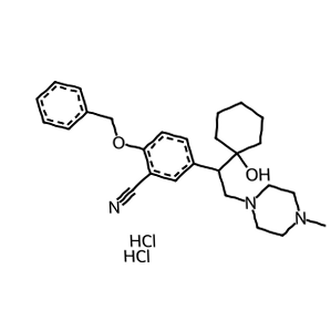 CN1CCN(CC(c2ccc(OCc3ccccc3)c(C#N)c2)C2(O)CCCCC2)CC1.Cl.Cl